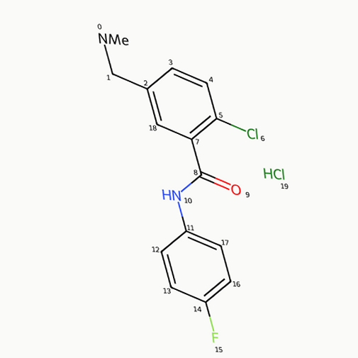 CNCc1ccc(Cl)c(C(=O)Nc2ccc(F)cc2)c1.Cl